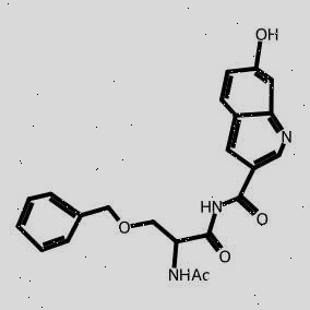 CC(=O)NC(COCc1ccccc1)C(=O)NC(=O)c1cnc2cc(O)ccc2c1